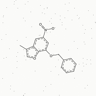 Cc1coc2c(OCc3ccccc3)cc([N+](=O)[O-])cc12